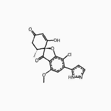 COc1cc(-c2ccn[nH]2)c(Cl)c2c1C(=O)[C@@]1(O2)C(O)=CC(=O)C[C@H]1C